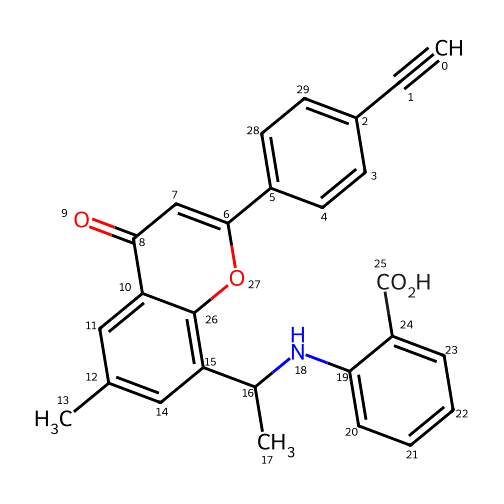 C#Cc1ccc(-c2cc(=O)c3cc(C)cc(C(C)Nc4ccccc4C(=O)O)c3o2)cc1